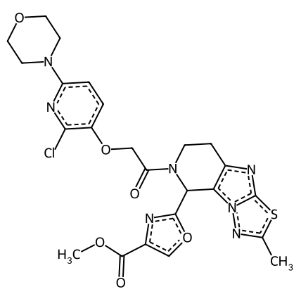 COC(=O)c1coc(C2c3c(nc4sc(C)nn34)CCN2C(=O)COc2ccc(N3CCOCC3)nc2Cl)n1